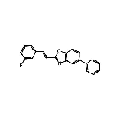 Fc1cccc(C=Cc2nc3cc(-c4ccccc4)ccc3o2)c1